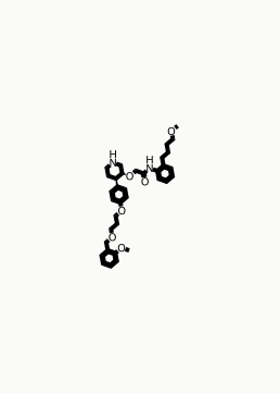 COCCCCc1ccccc1NC(=O)CO[C@H]1CNCC[C@@H]1c1ccc(OCCCOCc2ccccc2OC)cc1